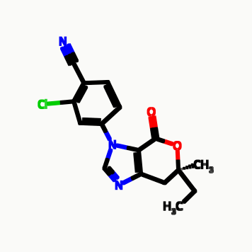 CC[C@@]1(C)Cc2ncn(-c3ccc(C#N)c(Cl)c3)c2C(=O)O1